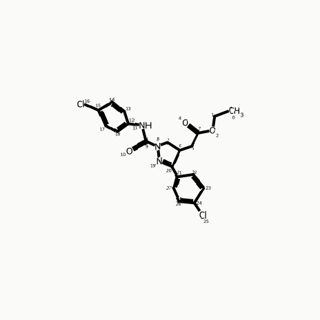 CCOC(=O)CC1CN(C(=O)Nc2ccc(Cl)cc2)N=C1c1ccc(Cl)cc1